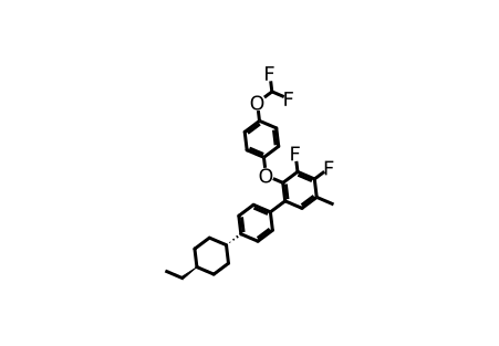 CC[C@H]1CC[C@H](c2ccc(-c3cc(C)c(F)c(F)c3Oc3ccc(OC(F)F)cc3)cc2)CC1